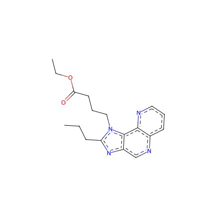 CCCc1nc2cnc3cccnc3c2n1CCCC(=O)OCC